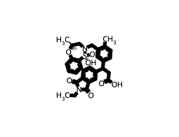 CCN1C(=O)c2ccc(C(CC(=O)O)c3ccc(C)c(CN4C[C@@H](C)Oc5ccccc5S4(O)O)c3)cc2C1=O